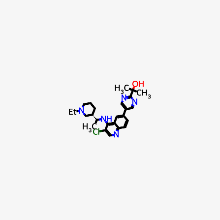 CCN1CCC[C@H](C(C)Nc2c(Cl)cnc3ccc(-c4cnc(C(C)(C)O)nc4)cc23)C1